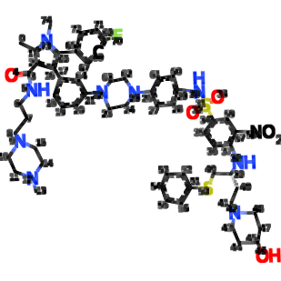 Cc1c(C(=O)NCCCN2CCN(C)CC2)c(-c2cccc(N3CCN(c4ccc(NS(=O)(=O)c5ccc(N[C@H](CCN6CCC(O)CC6)CSc6ccccc6)c([N+](=O)[O-])c5)cc4)CC3)c2)c(-c2ccc(F)cc2)n1C